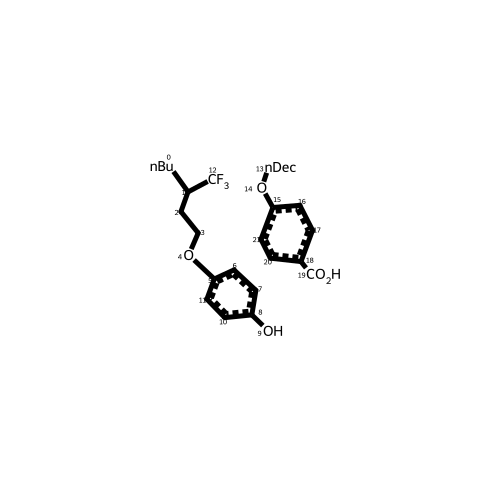 CCCCC(CCOc1ccc(O)cc1)C(F)(F)F.CCCCCCCCCCOc1ccc(C(=O)O)cc1